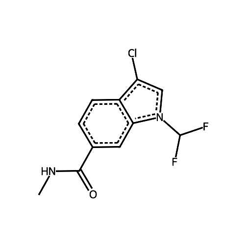 CNC(=O)c1ccc2c(Cl)cn(C(F)F)c2c1